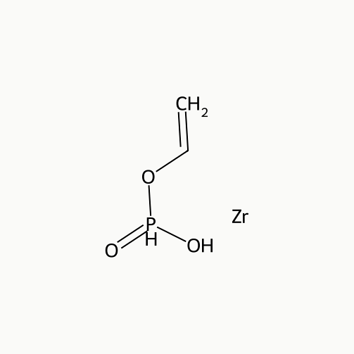 C=CO[PH](=O)O.[Zr]